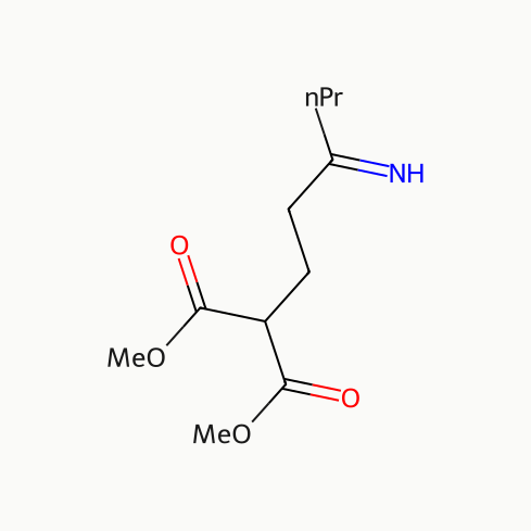 CCCC(=N)CCC(C(=O)OC)C(=O)OC